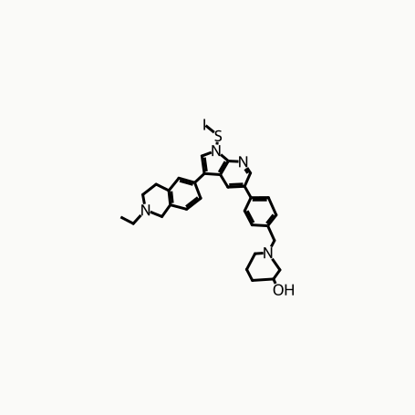 CCN1CCc2cc(-c3cn(SI)c4ncc(-c5ccc(CN6CCCC(O)C6)cc5)cc34)ccc2C1